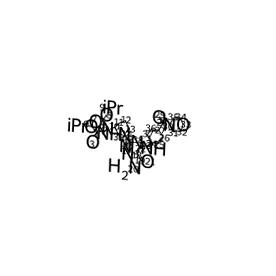 CC(C)OC(=O)NN(C(=O)OC(C)C)C1CCCN(c2nnc(C(N)=O)c(Nc3ccc(C(=O)N4CCOCC4)cc3)n2)C1